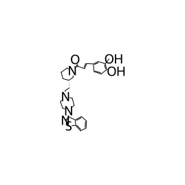 O=C(/C=C/c1ccc(O)c(O)c1)N1CCC[C@@H](CCN2CCN(c3nsc4ccccc34)CC2)C1